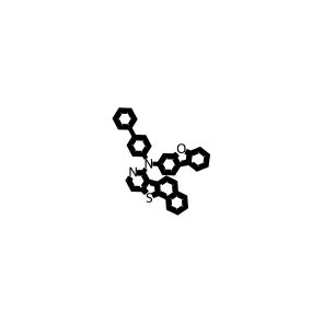 c1ccc(-c2ccc(N(c3ccc4c(c3)oc3ccccc34)c3nccc4sc5c6ccccc6ccc5c34)cc2)cc1